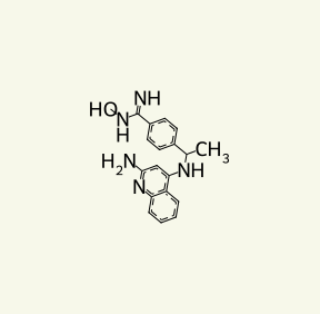 CC(Nc1cc(N)nc2ccccc12)c1ccc(C(=N)NO)cc1